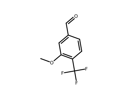 COc1cc(C=O)ccc1C(F)(F)F